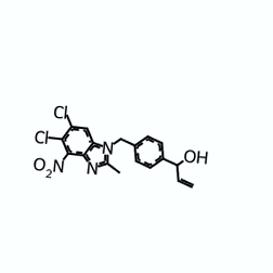 C=CC(O)c1ccc(Cn2c(C)nc3c([N+](=O)[O-])c(Cl)c(Cl)cc32)cc1